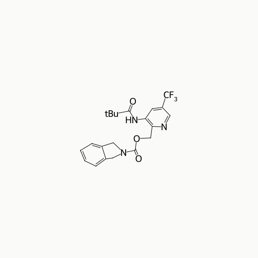 CC(C)(C)C(=O)Nc1cc(C(F)(F)F)cnc1COC(=O)N1Cc2ccccc2C1